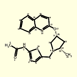 CC(=O)Nc1ncc(CN2C[C@H](Oc3ccc4ccccc4n3)C[C@@H]2C)s1